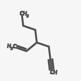 C#CCC(C=C)CCC